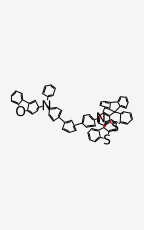 c1ccc(N(c2ccc(-c3cccc(-c4ccc(N(c5cccc6c5C5(c7ccccc7Sc7ccccc75)c5ccccc5-6)c5cccc6sc7ccccc7c56)cc4)c3)cc2)c2ccc3oc4ccccc4c3c2)cc1